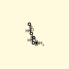 NS(=O)(=O)c1cccc(Nc2nccc(-c3ccc(NC(=O)COc4ccccc4)cc3)n2)c1